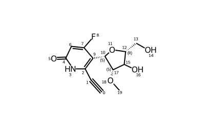 C#Cc1[nH]c(=O)cc(F)c1[C@@H]1O[C@H](CO)C(O)[C@@H]1OC